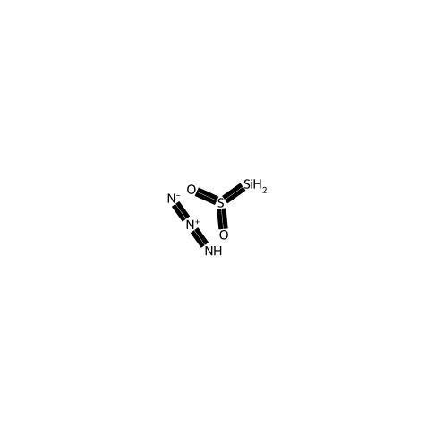 O=S(=O)=[SiH2].[N-]=[N+]=N